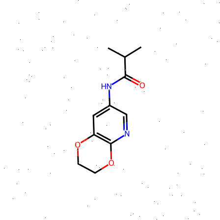 CC(C)C(=O)Nc1cnc2c(c1)OCCO2